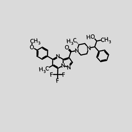 COc1ccc(-c2nc3c(C(=O)N4CCN(C(c5ccccc5)C(C)O)C[C@H]4C)cnn3c(C(F)(F)F)c2C)cc1